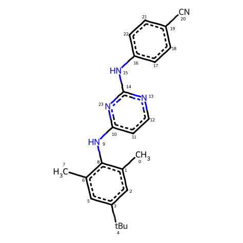 Cc1cc(C(C)(C)C)cc(C)c1Nc1ccnc(Nc2ccc(C#N)cc2)n1